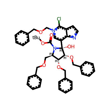 CC(C)(C)OC(=O)N1[C@H](COCc2ccccc2)[C@@H](OCc2ccccc2)[C@@H](OCc2ccccc2)[C@]1(O)c1cn(COCc2ccccc2)c(Cl)c2ccnc1-2